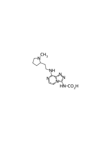 CN1CCCC1CCNc1nccn2c(NC(=O)O)nnc12